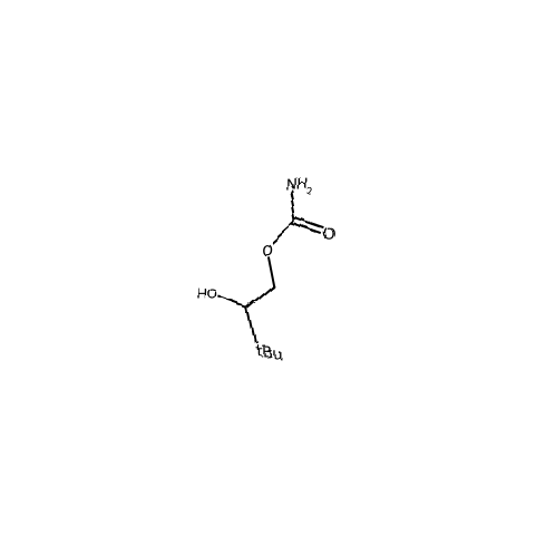 CC(C)(C)C(O)COC(N)=O